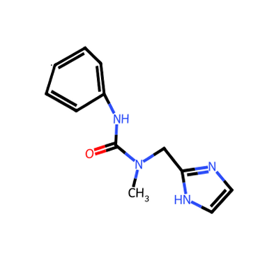 CN(Cc1ncc[nH]1)C(=O)Nc1cc[c]cc1